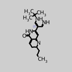 CCCC1CC=c2c(cc(/C(C=N)=C/NC(C)(C)C)[nH]c2=O)=N1